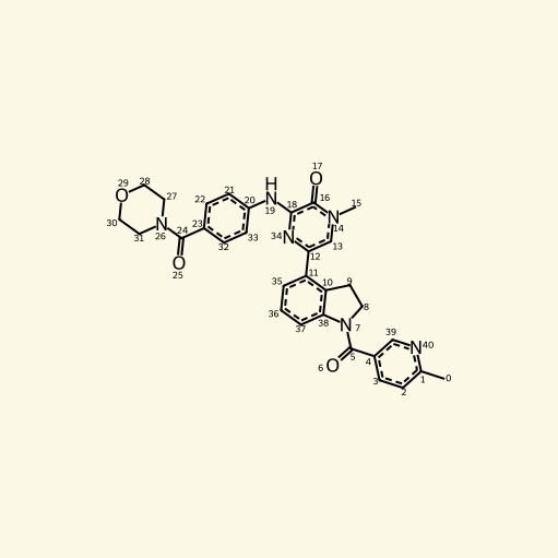 Cc1ccc(C(=O)N2CCc3c(-c4cn(C)c(=O)c(Nc5ccc(C(=O)N6CCOCC6)cc5)n4)cccc32)cn1